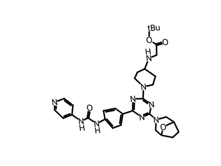 CC(C)(C)OC(=O)CNC1CCN(c2nc(-c3ccc(NC(=O)Nc4ccncc4)cc3)nc(N3CC4CCC(C3)O4)n2)CC1